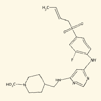 CC=CCS(=O)(=O)c1ccc(Nc2cc(NCC3CCN(C(=O)O)CC3)ncn2)c(F)c1